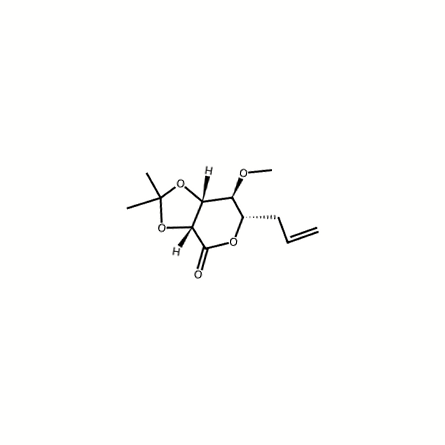 C=CC[C@@H]1OC(=O)[C@@H]2OC(C)(C)O[C@@H]2[C@H]1OC